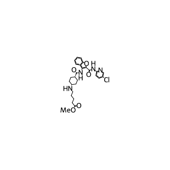 COC(=O)CCCCN[C@H]1CC[C@H](C(=O)Nc2c(C(=O)Nc3ccc(Cl)cn3)oc3ccccc23)CC1